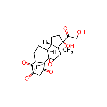 C[C@]12C(=O)CC(=O)C(=O)C1CC[C@H]1[C@@H]3CC[C@](O)(C(=O)CO)[C@@]3(C)CC3O[C@]312